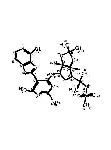 CSc1nc(C)c(-c2nc3c(C)nccc3s2)c(N[C@@H]2C[C@H](C(C)(C)NS(C)(=O)=O)[C@H]3OC(C)(C)O[C@H]32)n1